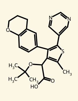 Cc1sc(-c2cncnc2)c(-c2ccc3c(c2)CCCO3)c1C(OC(C)(C)C)C(=O)O